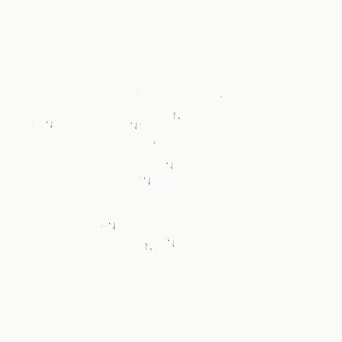 CCCCCCn1cc[n+](CCCN)c1/N=N/c1cnn2c1NCCC2